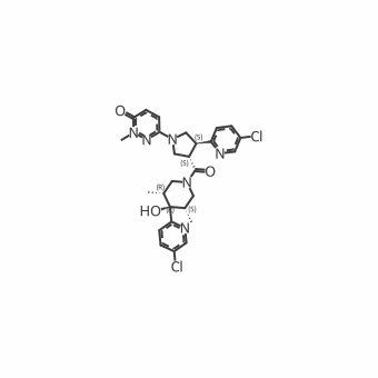 C[C@@H]1CN(C(=O)[C@@H]2CN(c3ccc(=O)n(C)n3)C[C@H]2c2ccc(Cl)cn2)C[C@H](C)[C@]1(O)c1ccc(Cl)cn1